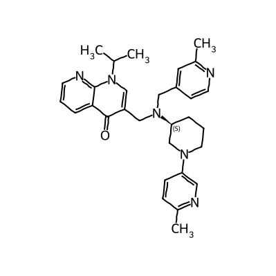 Cc1ccc(N2CCC[C@H](N(Cc3ccnc(C)c3)Cc3cn(C(C)C)c4ncccc4c3=O)C2)cn1